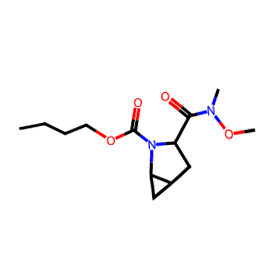 CCCCOC(=O)N1C(C(=O)N(C)OC)CC2CC21